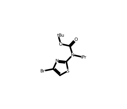 CC(C)N(C(=O)OC(C)(C)C)c1nc(Br)cs1